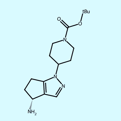 CC(C)(C)OC(=O)N1CCC(n2ncc3c2CC[C@H]3N)CC1